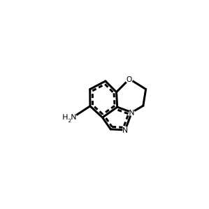 Nc1ccc2c3c1cnn3CCO2